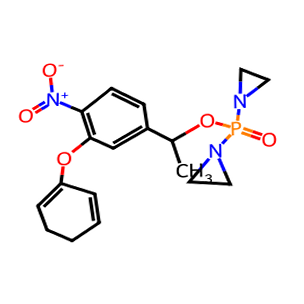 CC(OP(=O)(N1CC1)N1CC1)c1ccc([N+](=O)[O-])c(OC2=CCCC=C2)c1